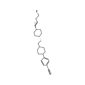 N#Cc1ccc(C2CCC(CC[C@H]3CC[C@H](/C=C/CCF)CC3)CC2)cc1